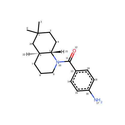 CC1(C)CC[C@H]2[C@@H](CCCN2C(=O)c2ccc(N)cc2)C1